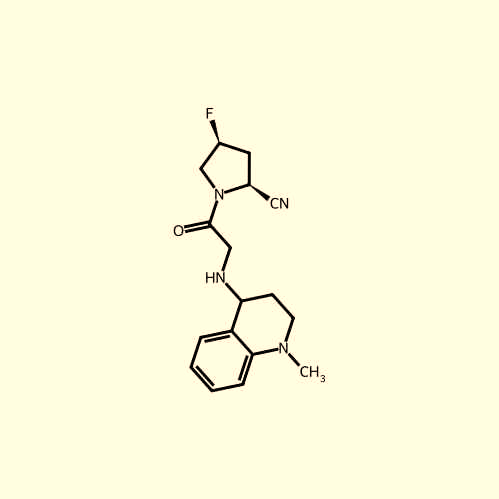 CN1CCC(NCC(=O)N2C[C@@H](F)C[C@H]2C#N)c2ccccc21